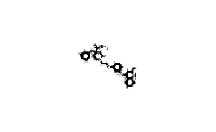 Cc1cc(Nc2cccc(OCCN3CCC(Cc4ccccc4)(C(N)=O)CC3)c2)c2ccccc2n1